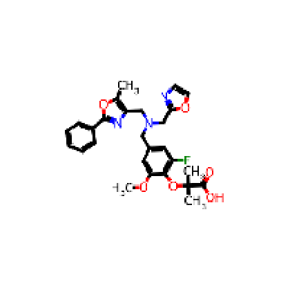 COc1cc(CN(Cc2ncco2)Cc2nc(-c3ccccc3)oc2C)cc(F)c1OC(C)(C)C(=O)O